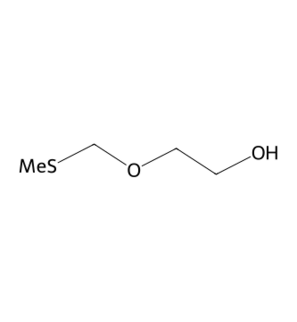 CSCOCCO